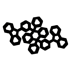 c1ccc([Si]2(c3cccc(-n4c5ccccc5c5ccccc54)c3)c3ccccc3[Si](c3ccccc3)(c3cccc(-n4c5ccccc5c5ccccc54)c3)c3ccccc32)cc1